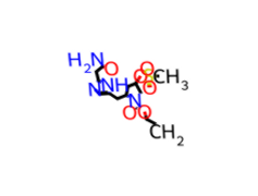 C=CCOC(=O)N1CC(OS(C)(=O)=O)CC1Cc1cnc(CC(N)=O)[nH]1